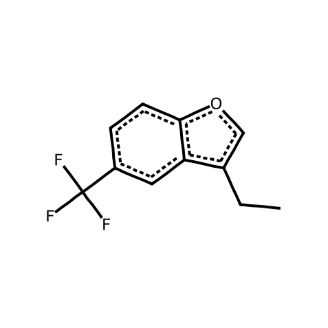 CCc1coc2ccc(C(F)(F)F)cc12